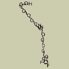 O=C(CCOCCOCCOCCOCCn1cc(COCCOCCOCCOCCN2CCC[C@H]2CO)nn1)Oc1c(F)cc(F)cc1F